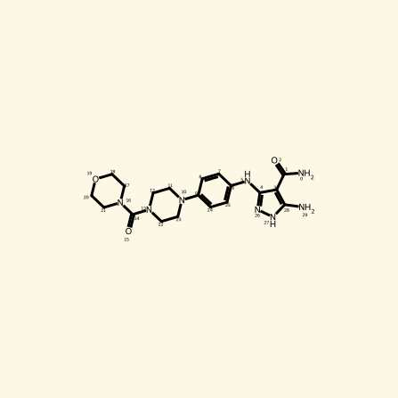 NC(=O)c1c(Nc2ccc(N3CCN(C(=O)N4CCOCC4)CC3)cc2)n[nH]c1N